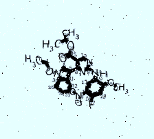 CCOn1cc(-c2nc(Nc3cc([N+](=O)[O-])c(F)cc3OC)ncc2C(=O)OC(C)C)c2ccccc21